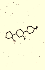 FC1CCC(C2CCC(C3CCCCC3F)CC2F)CC1